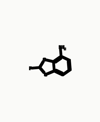 Nc1cccc2c1OC(F)O2